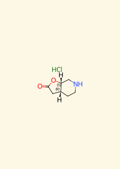 Cl.O=C1C[C@H]2CCNC[C@H]2O1